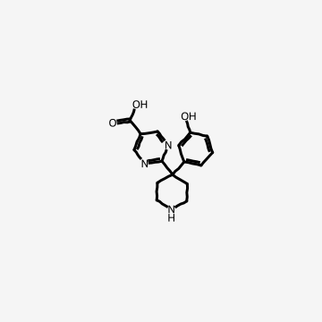 O=C(O)c1cnc(C2(c3cccc(O)c3)CCNCC2)nc1